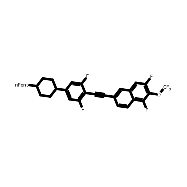 CCCCCC1CCC(c2cc(F)c(C#Cc3ccc4c(F)c(OC(F)(F)F)c(F)cc4c3)c(F)c2)CC1